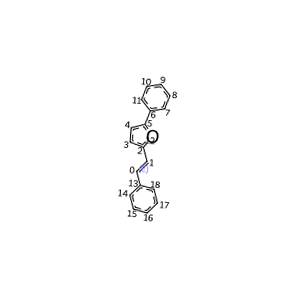 C(=C\c1ccc(-c2ccccc2)o1)/c1ccccc1